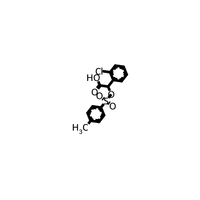 Cc1ccc(S(=O)(=O)OC(C(=O)O)c2ccccc2Cl)cc1